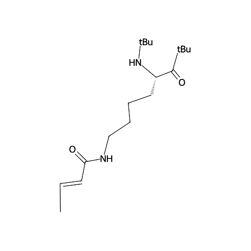 C/C=C/C(=O)NCCCC[C@H](NC(C)(C)C)C(=O)C(C)(C)C